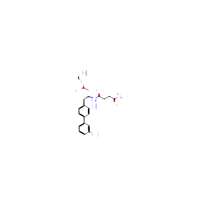 CCOC(=O)C[C@@H](Cc1ccc(-c2cccc(Cl)c2)cc1)NC(=O)CCC(N)=O